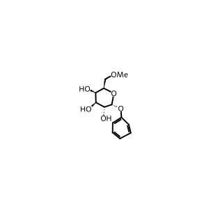 COC[C@H]1O[C@H](Oc2ccccc2)[C@H](O)[C@@H](O)[C@H]1O